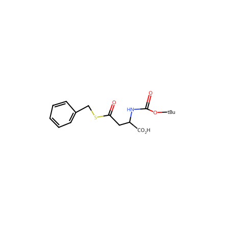 CC(C)(C)OC(=O)NC(CC(=O)SCc1ccccc1)C(=O)O